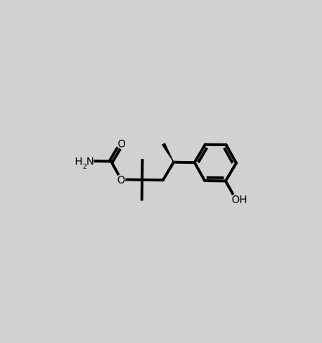 C[C@H](CC(C)(C)OC(N)=O)c1cccc(O)c1